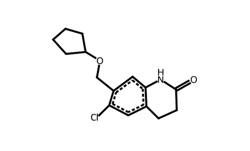 O=C1CCc2cc(Cl)c(COC3CCCC3)cc2N1